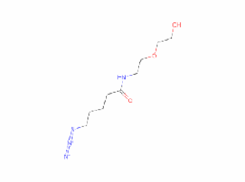 [N-]=[N+]=NCCCCC(=O)NCCOCCO